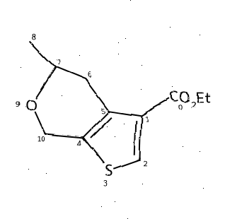 CCOC(=O)c1csc2c1CC(C)OC2